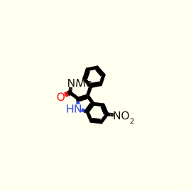 CNC(=O)c1[nH]c2ccc([N+](=O)[O-])cc2c1-c1ccccc1